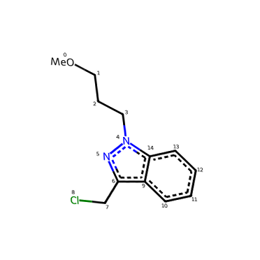 COCCCn1nc(CCl)c2ccccc21